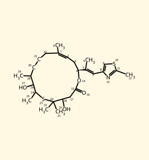 C/C1=C/C[C@@H](/C(C)=C/c2csc(C)n2)OC(=O)CC(O)C(C)(C)SC(C)C(O)C(C)CCC1